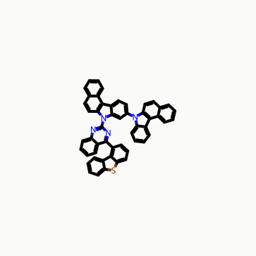 c1ccc2c(c1)ccc1c2c2ccccc2n1-c1ccc2c3c4ccccc4ccc3n(-c3nc(-c4cccc5sc6ccccc6c45)c4ccccc4n3)c2c1